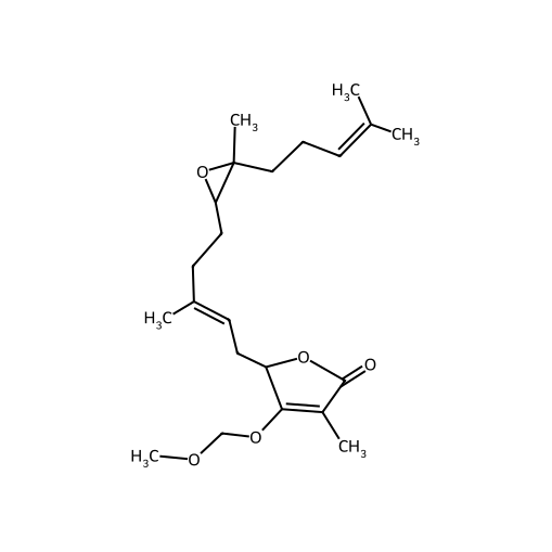 COCOC1=C(C)C(=O)OC1C/C=C(\C)CCC1OC1(C)CCC=C(C)C